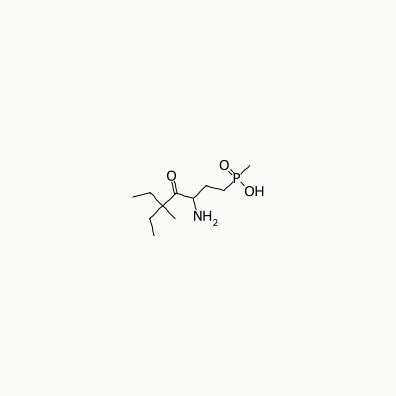 CCC(C)(CC)C(=O)C(N)CCP(C)(=O)O